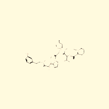 CC[C@H](C)[C@@H]([C@@H](CC(=O)N1CCCC1[C@H](OC)[C@@H](C)C(=O)N(C)CCc1cccc(N)c1)OC)N(C)C(=O)C(NC(=O)C1CCCCN1C)C(C)C